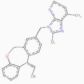 CCc1nc2c(C)ccnc2n1Cc1ccc2c(c1)COc1ccccc1/C2=C\C#N